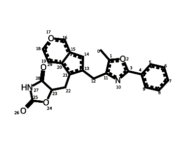 Cc1oc(-c2ccccc2)nc1Cc1cc2coccc-2c1CC1OC(=O)NC1=O